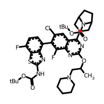 CC(CN1CCCCC1)Oc1nc(N2CC3CCC(C2)N3C(=O)OC(C)(C)C)c2cc(Cl)c(-c3ccc(F)c4sc(NC(=O)OC(C)(C)C)nc34)c(F)c2n1